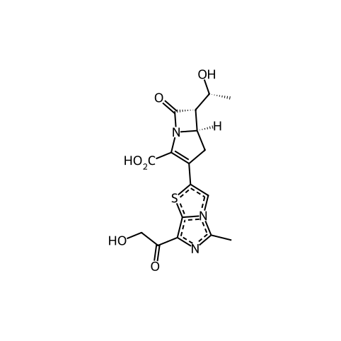 Cc1nc(C(=O)CO)c2sc(C3=C(C(=O)O)N4C(=O)[C@H]([C@@H](C)O)[C@H]4C3)cn12